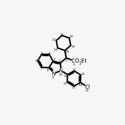 CCOC(=O)C(c1c2ccccc2nn1-c1ccc(Cl)cc1)C1CCCCC1